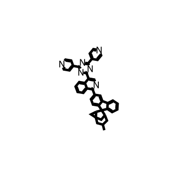 CC1CC2CC3(C1)CC3C21c2ccccc2-c2cc(-c3ncc(-c4nc(-c5ccncc5)nc(-c5ccncc5)n4)c4ccccc34)ccc21